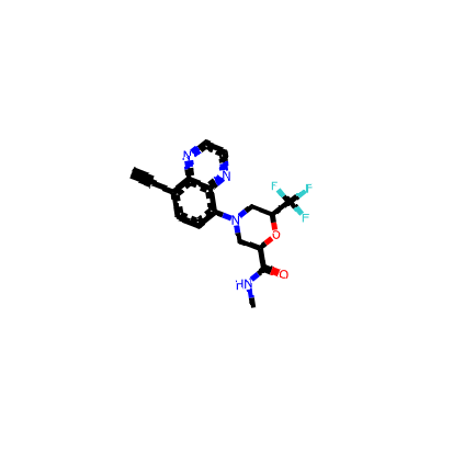 C#Cc1ccc(N2CC(C(=O)NC)OC(C(F)(F)F)C2)c2nccnc12